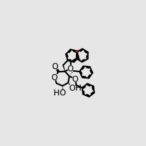 O=C1OC[C@@H](O)[C@@H](O)[C@](Cc2ccccc2)(OCc2ccccc2)[C@@]1(Cc1ccccc1)OCc1ccccc1